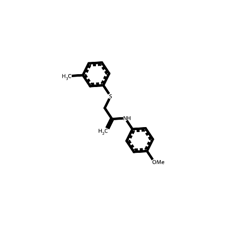 C=C(CSc1cccc(C)c1)Nc1ccc(OC)cc1